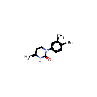 C=C1CCN(c2ccc(C(C)(C)C)c(C)c2)C(=O)N1